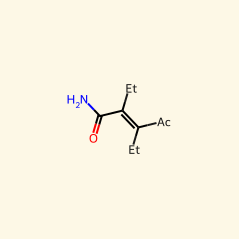 CCC(C(C)=O)=C(CC)C(N)=O